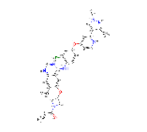 C=CC(=O)N1CC(Oc2cc3c(Nc4ccc(Oc5ccnc(-c6cn(C)nc6C)c5)cc4F)ncnc3cc2OC)C1